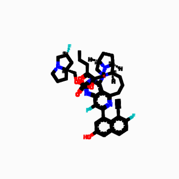 C#Cc1c(F)ccc2cc(O)cc(-c3nc4c5c(nc(OC[C@@]67CCCN6C[C@H](F)C7)nc5c3F)N3C[C@H]5CC[C@@H]([C@H]3CCC4)N5Cc3oc(=O)oc3CCC)c12